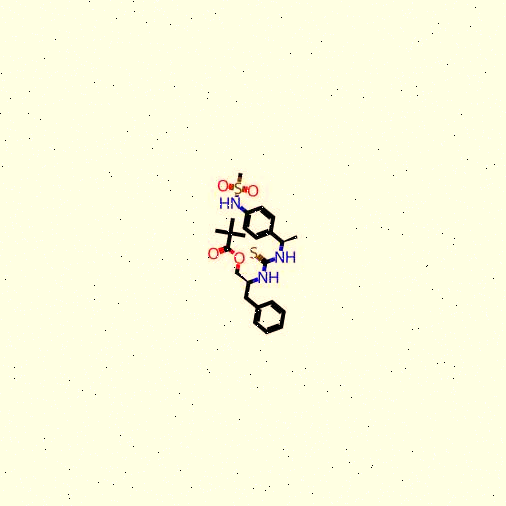 C[C@@H](NC(=S)N[C@H](COC(=O)C(C)(C)C)Cc1ccccc1)c1ccc(NS(C)(=O)=O)cc1